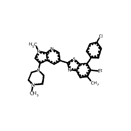 CCc1c(C)cc2nc(-c3cnc4c(c3)c(N3CCN(C)CC3)cn4C)sc2c1-c1ccc(Cl)cc1